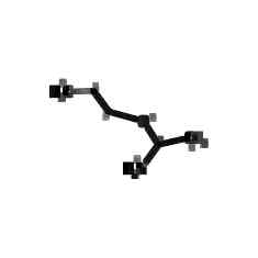 CCCOC(C)N